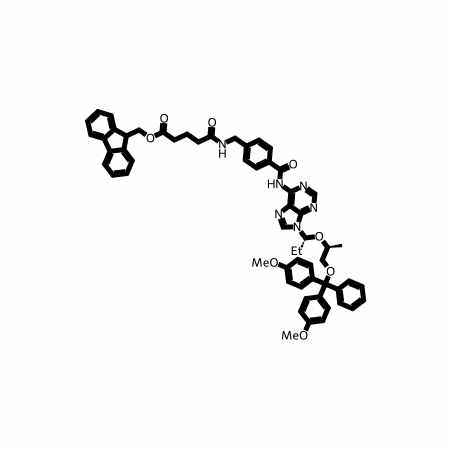 CC[C@@H](O[C@@H](C)COC(c1ccccc1)(c1ccc(OC)cc1)c1ccc(OC)cc1)n1cnc2c(NC(=O)c3ccc(CNC(=O)CCCC(=O)OCC4c5ccccc5-c5ccccc54)cc3)ncnc21